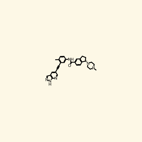 Cc1ccc(NC(=O)c2ccc3c(c2)CC[C@@H]3N2CCN(C)CC2)cc1C#Cc1cnc2[nH]ncc2c1